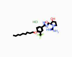 CCCCCCCCCOc1ccc(-c2noc([C@@H]3[C@@H](O)CCN3C(=N)N)n2)cc1C(F)(F)F.Cl